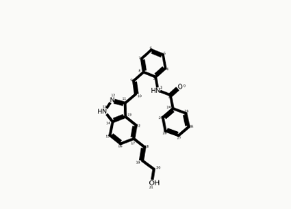 O=C(Nc1ccccc1/C=C/c1n[nH]c2ccc(/C=C/CO)cc12)c1ccccc1